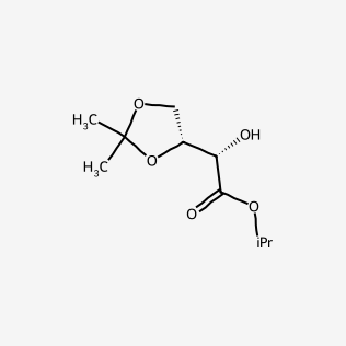 CC(C)OC(=O)[C@@H](O)[C@H]1COC(C)(C)O1